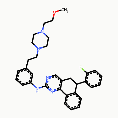 COCCN1CCN(CCc2cccc(Nc3ncc4c(n3)-c3ccccc3C(c3ccccc3F)C4)c2)CC1